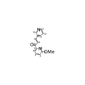 COc1cccc(C(=O)C=Cc2cccnc2)n1